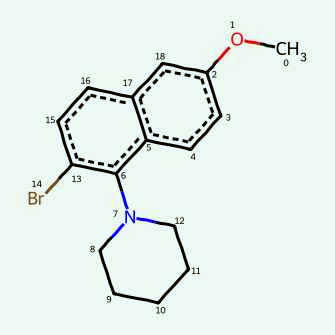 COc1ccc2c(N3CCCCC3)c(Br)ccc2c1